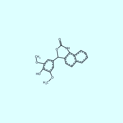 COc1cc(C2OC(=O)Nc3c2ccc2ccccc32)cc(OC)c1O